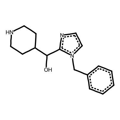 OC(c1nccn1Cc1ccccc1)C1CCNCC1